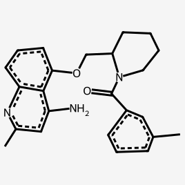 Cc1cccc(C(=O)N2CCCCC2COc2cccc3nc(C)cc(N)c23)c1